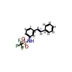 O=S(=O)(Nc1cccc(/C=C/c2ccccc2)c1)C(F)(F)F